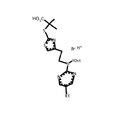 CCCCCCCCN(CCc1csc(SC(C)(C)C(=O)O)n1)c1ncc(CC)cn1.[Br-].[H+]